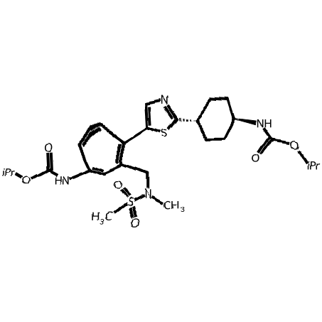 CC(C)OC(=O)Nc1ccc(-c2cnc([C@H]3CC[C@H](NC(=O)OC(C)C)CC3)s2)c(CN(C)S(C)(=O)=O)c1